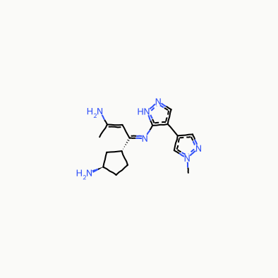 C/C(N)=C\C(=N/c1[nH]ncc1-c1cnn(C)c1)[C@@H]1CC[C@@H](N)C1